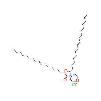 CCCCCCCCC=CCCCCCCCC(=O)[N+]1(C(=O)CCCCCCCC=CCCCCCCCC)CCOCC1.[Cl-]